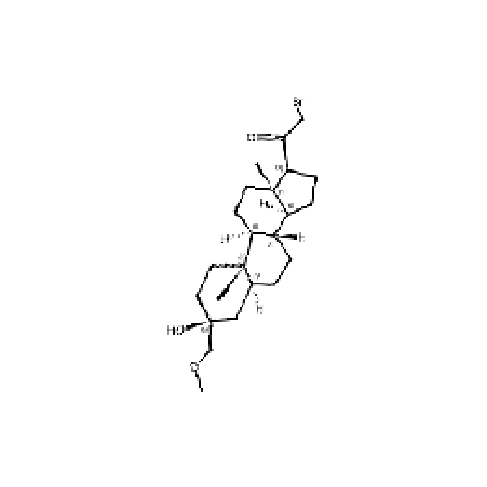 COC[C@]1(O)CC[C@@]2(C)[C@@H](CC[C@@H]3[C@@H]2CC[C@]2(C)[C@@H](C(=O)CBr)CC[C@@H]32)C1